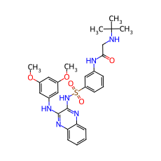 COc1cc(Nc2nc3ccccc3nc2NS(=O)(=O)c2cccc(NC(=O)CNC(C)(C)C)c2)cc(OC)c1